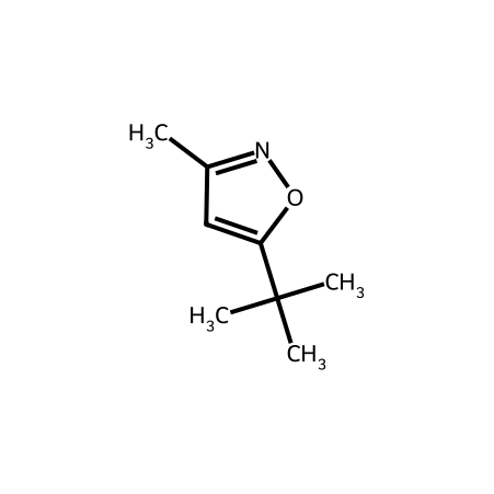 Cc1cc(C(C)(C)C)on1